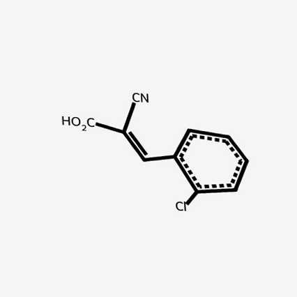 N#C/C(=C\c1ccccc1Cl)C(=O)O